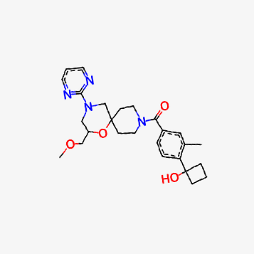 COCC1CN(c2ncccn2)CC2(CCN(C(=O)c3ccc(C4(O)CCC4)c(C)c3)CC2)O1